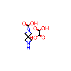 O=C(O)C(=O)O.O=C(O)N1CC2(CNC2)C1